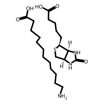 NCCCCCCCCCCCC(=O)O.O=C(O)CCCC[C@@H]1SC[C@@H]2NC(=O)N[C@@H]21